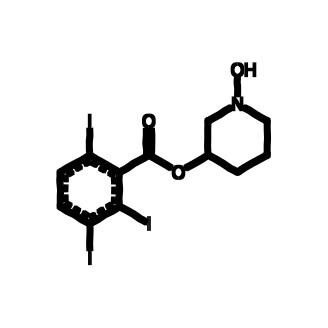 O=C(OC1CCCN(O)C1)c1c(I)ccc(I)c1I